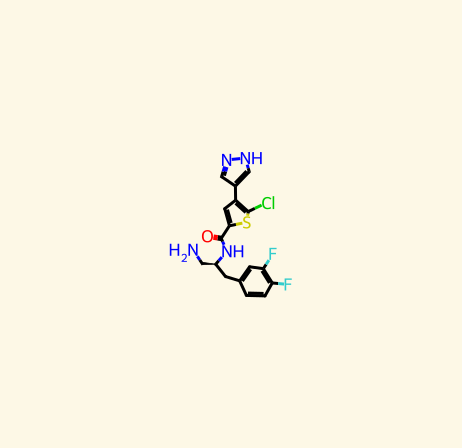 NC[C@H](Cc1ccc(F)c(F)c1)NC(=O)c1cc(-c2cn[nH]c2)c(Cl)s1